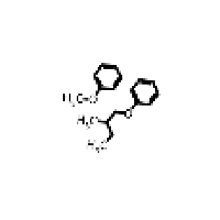 CCC(C)COc1ccccc1.COc1ccccc1